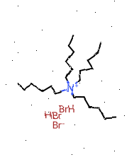 Br.Br.CCCCCC[N+](CCCCCC)(CCCCCC)CCCCCC.[Br-]